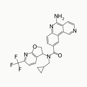 Nc1nc2ccc(C(=O)N(CC3CC3)C3COc4nc(C(F)(F)F)ccc43)cc2c2cnccc12